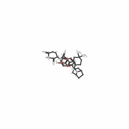 CC1(C)CCC(CN2C3CCC2CN(c2ccc4c(c2)CN(C2CCC(=O)NC2=O)C4=O)C3)=C(c2ccc(F)cc2)C1